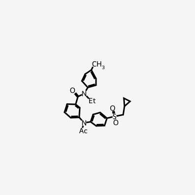 CCN(C(=O)c1cccc(N(C(C)=O)c2ccc(S(=O)(=O)CC3CC3)cc2)c1)c1ccc(C)cc1